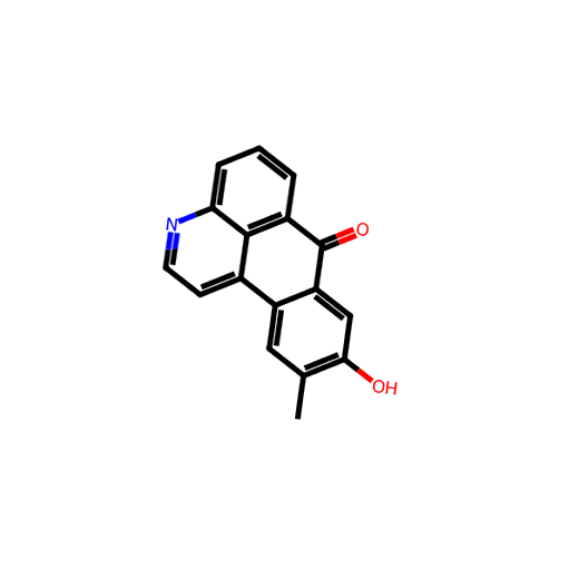 Cc1cc2c(cc1O)C(=O)c1cccc3nccc-2c13